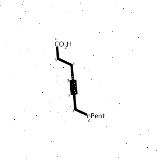 CCCCCCC#CCCC(=O)O